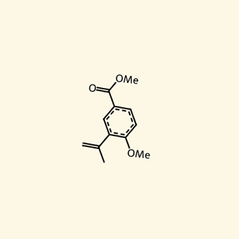 C=C(C)c1cc(C(=O)OC)ccc1OC